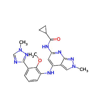 COc1c(Nc2cc(NC(=O)C3CC3)nc3nn(C)cc23)cccc1-c1ncn(C)n1